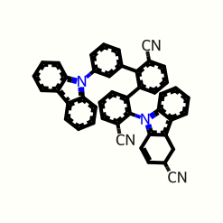 N#Cc1cccc(-c2cccc(C#N)c2-n2c3c(c4ccccc42)CC(C#N)C=C3)c1-c1cccc(-n2c3ccccc3c3ccccc32)c1